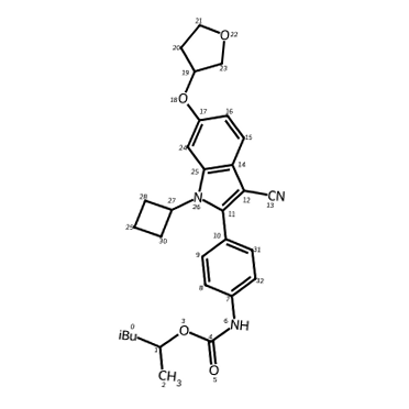 CCC(C)C(C)OC(=O)Nc1ccc(-c2c(C#N)c3ccc(OC4CCOC4)cc3n2C2CCC2)cc1